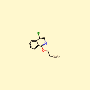 COCCOc1ncc(Br)c2ccccc12